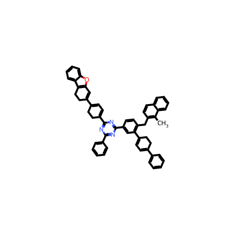 Cc1c(Cc2ccc(-c3nc(C4=CC=C(C5=Cc6oc7ccccc7c6CC5)CC4)nc(-c4ccccc4)n3)cc2C2=CC=C(c3ccccc3)CC2)ccc2ccccc12